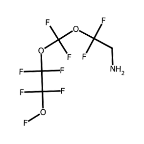 NCC(F)(F)OC(F)(F)OC(F)(F)C(F)(F)OF